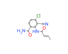 CC=CC(=O)Nc1c(C(N)=O)ccc(Cl)c1C#N